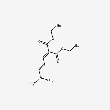 CCC(C)COC(=O)C(=C/C=C/N(C)C)C(=O)OCC(C)CC